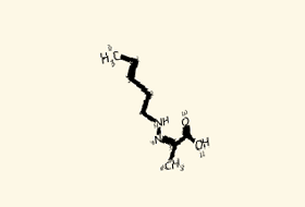 CC=CCCNN=C(C)C(=O)O